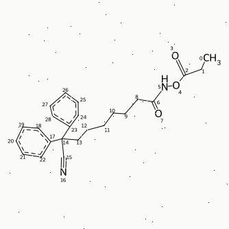 CCC(=O)ONC(=O)CCCCCCC(C#N)(c1ccccc1)c1ccccc1